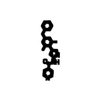 Cc1cc(Cc2ccccc2)cc(C)c1-c1cnn(NC(=O)c2ccncc2)c1